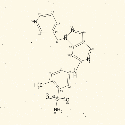 Cc1ccc(Nc2ncc3cnn(Cc4cccnc4)c3n2)cc1S(N)(=O)=O